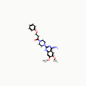 COc1cc2nc(N3CCN(C(=O)CCOc4ccccc4)CC3)nc(N)c2cc1OC